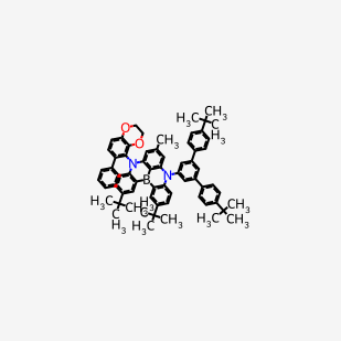 Cc1cc2c3c(c1)N(c1c(-c4ccccc4)ccc4c1OCCO4)c1ccc(C(C)(C)C)cc1B3c1cc(C(C)(C)C)ccc1N2c1cc(-c2ccc(C(C)(C)C)cc2)cc(-c2ccc(C(C)(C)C)cc2)c1